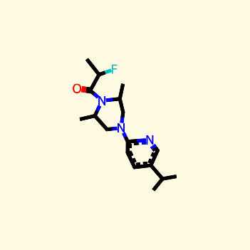 CC(F)C(=O)N1C(C)CN(c2ccc(C(C)C)cn2)CC1C